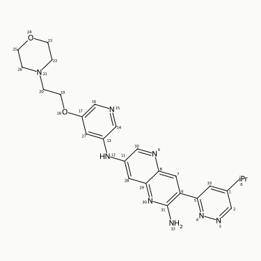 CC(C)c1cnnc(-c2cc3ncc(Nc4cncc(OCCN5CCOCC5)c4)cc3nc2N)c1